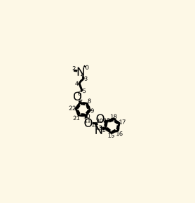 CN(C)CCCOc1ccc(Oc2nc3ccccc3o2)cc1